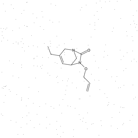 C=CCON1C(=O)N2CC(CC)=CC1C2